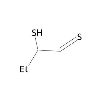 CCC(S)C=S